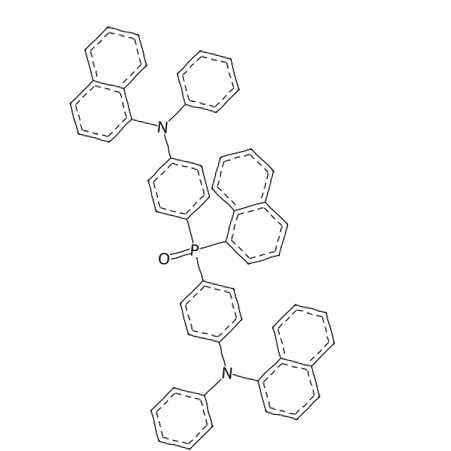 O=P(c1ccc(N(c2ccccc2)c2cccc3ccccc23)cc1)(c1ccc(N(c2ccccc2)c2cccc3ccccc23)cc1)c1cccc2ccccc12